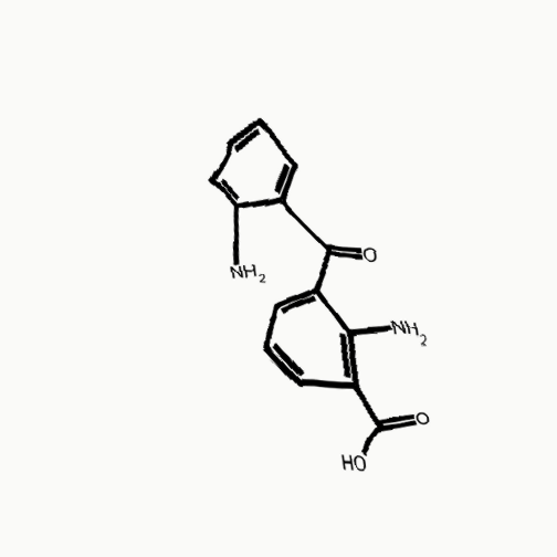 Nc1ccccc1C(=O)c1cccc(C(=O)O)c1N